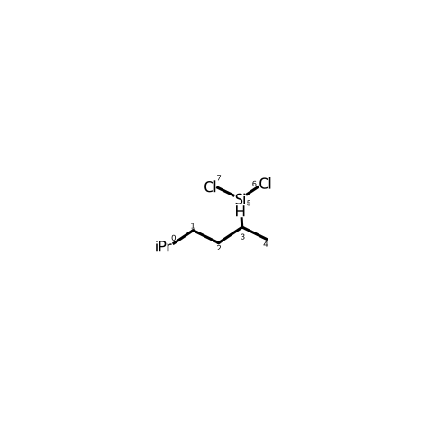 CC(C)CCC(C)[SiH](Cl)Cl